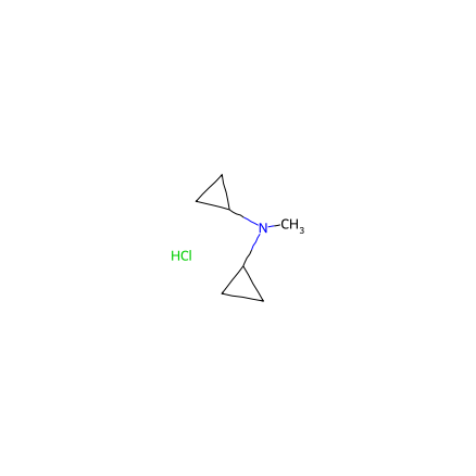 CN(C1CC1)C1CC1.Cl